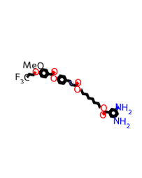 COc1cc(C(=O)Oc2ccc(/C=C/C(=O)OCCCCCCCCOC(=O)c3cc(N)cc(N)c3)cc2)ccc1OCCC(F)(F)F